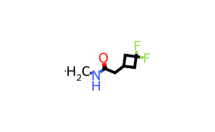 [CH2]NC(=O)CC1CC(F)(F)C1